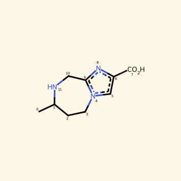 CC1CCn2cc(C(=O)O)nc2CN1